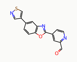 O=Cc1cc(-c2nc3cc(-c4cnsc4)ccc3o2)ccn1